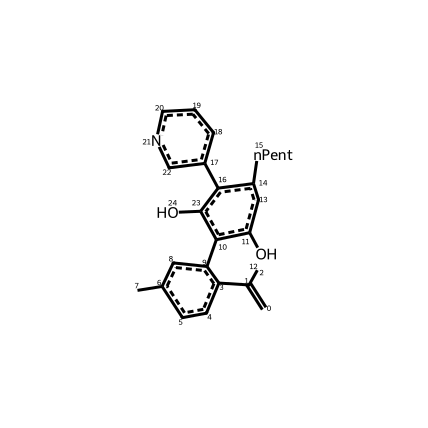 C=C(C)c1ccc(C)cc1-c1c(O)cc(CCCCC)c(-c2cccnc2)c1O